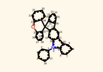 c1ccc(-n2c3ccccc3c3cc4c(cc32)C2(c3ccccc3Oc3ccccc32)c2ccccc2-4)cc1